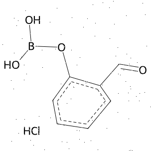 Cl.O=Cc1ccccc1OB(O)O